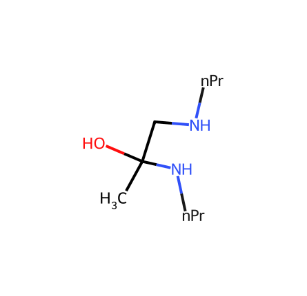 CCCNCC(C)(O)NCCC